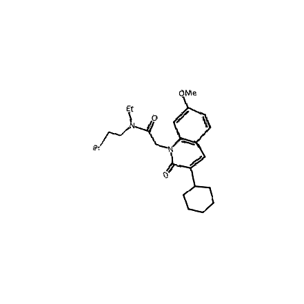 CCN(CCC(C)C)C(=O)Cn1c(=O)c(C2CCCCC2)cc2ccc(OC)cc21